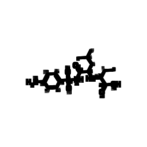 CCC(NC(CC(C)C)C(=O)NS(=O)(=O)c1ccc(N)cc1)C(=O)O